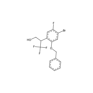 OCC(c1cc(F)c(Br)cc1OCc1ccccc1)C(F)(F)F